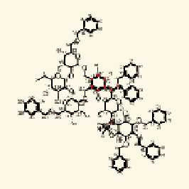 CCC1O[C@H](OC2[C@@H](OCC3O[C@H](O[C@@H]4C(COCc5ccccc5)O[C@H](OC5C(OCc6ccccc6)C(OCc6ccccc6)C(OCc6ccccc6)[C@@H]6OC(C)(C)OC56)C(N=[N+]=[N-])[C@H]4C)C(OCc4ccccc4)[C@@H](C)[C@@H]3C)OC(COCc3ccccc3)[C@@H](C)[C@@H]2C)C(O[C@H]2OC(COCc3ccccc3)[C@@H](C)[C@H](C)C2OCc2ccccc2)[C@@H](C)[C@@H]1C